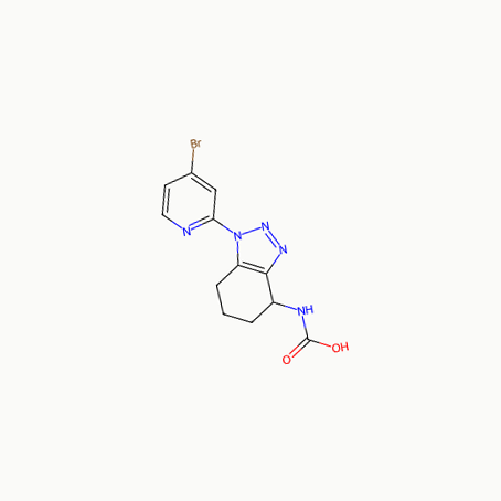 O=C(O)NC1CCCc2c1nnn2-c1cc(Br)ccn1